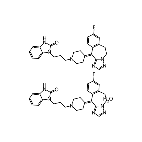 O.O=c1[nH]c2ccccc2n1CCCN1CCC(=C2c3ccc(F)cc3CCn3ncnc32)CC1.O=c1[nH]c2ccccc2n1CCCN1CCC(=C2c3ccc(F)cc3CCn3ncnc32)CC1